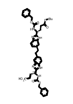 CC(C)(C)OC(=O)CC[C@H](NC(=O)OCc1ccccc1)c1nc2ccc(CCc3ccc4[nH]c([C@H](CCC(=O)O)NC(=O)OCc5ccccc5)nc4c3)cc2[nH]1